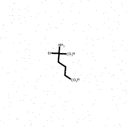 CCC(N)(CCCC(=O)O)C(=O)O